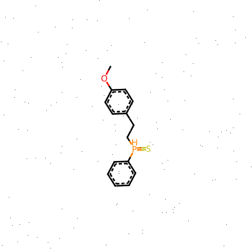 COc1ccc(CC[PH](=S)c2ccccc2)cc1